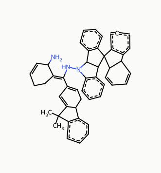 CC1(C)C2=CC(/C(NN3c4ccccc4C4C3c3ccccc3C43c4ccccc4C4C=CC=CC43)=C3\CCC=CC3N)=CCC2c2ccccc21